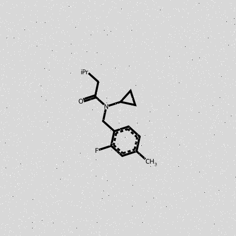 Cc1ccc(CN(C(=O)CC(C)C)C2CC2)c(F)c1